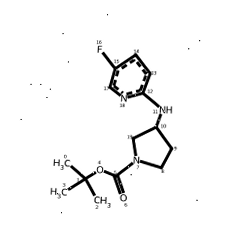 CC(C)(C)OC(=O)N1CCC(Nc2ccc(F)cn2)C1